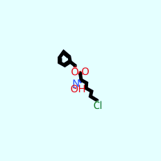 O=C(OCc1ccccc1)C(CCCCCCl)=NO